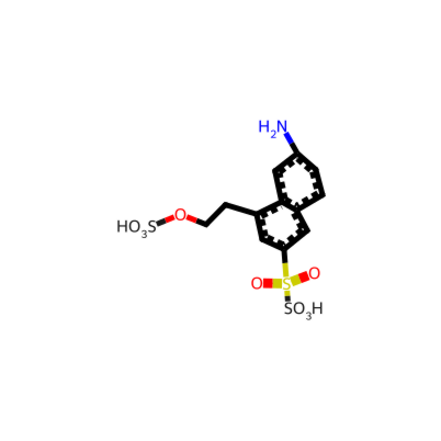 Nc1ccc2cc(S(=O)(=O)S(=O)(=O)O)cc(CCOS(=O)(=O)O)c2c1